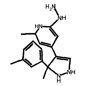 Cc1cccc(C2(C)NNC=C2C2=CC(C)NC(NN)=C2)c1